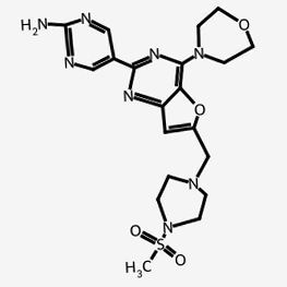 CS(=O)(=O)N1CCN(Cc2cc3nc(-c4cnc(N)nc4)nc(N4CCOCC4)c3o2)CC1